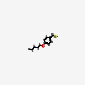 CCCCCOc1ccc(C[S])cc1